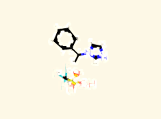 CC(c1ccccc1)n1ccnc1.O=S(=O)(O)C(F)(F)F